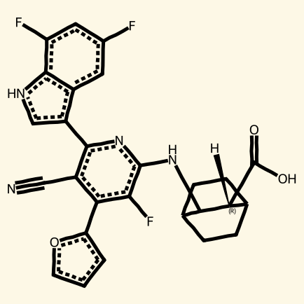 N#Cc1c(-c2c[nH]c3c(F)cc(F)cc23)nc(NC2C3CCC(CC3)[C@H]2C(=O)O)c(F)c1-c1ccco1